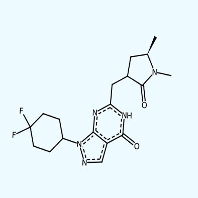 C[C@@H]1CC(Cc2nc3c(cnn3C3CCC(F)(F)CC3)c(=O)[nH]2)C(=O)N1C